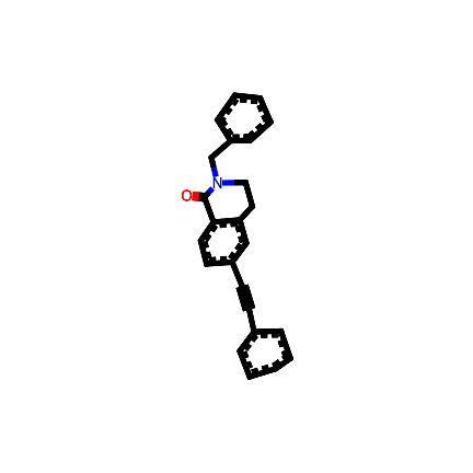 O=C1c2ccc(C#Cc3ccccc3)cc2CCN1Cc1ccccc1